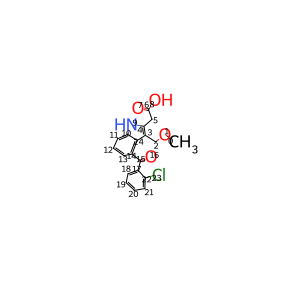 COCc1c(CC(=O)O)[nH]c2cccc(C(=O)c3ccccc3Cl)c12